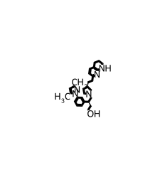 Cc1cc(C)n(-c2cccc([C@H](CCO)CN3CC[C@@H](CCc4ccc5c(n4)NCCC5)C3)c2)n1